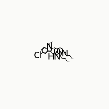 CCCCC(NC(=O)Cc1c(C)n(CC)c2ccc(Cl)cc12)C(=O)N(C)CCCC